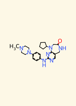 CN1CCN(c2ccc(Nc3ncc4c(n3)N(C3CCCC3)CC(=O)NC4)cc2)CC1